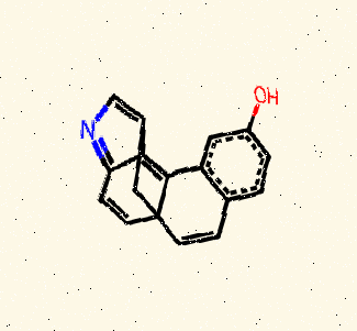 Oc1ccc2c(c1)C1=C3C4=CN=C3C=CC1(C=C2)C4